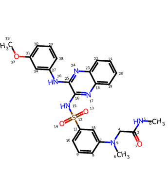 CNC(=O)CN(C)c1cccc(S(=O)(=O)Nc2nc3ccccc3nc2Nc2cccc(OC)c2)c1